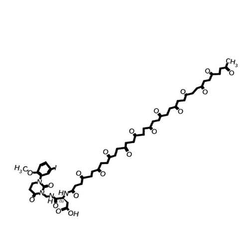 COc1ccc(I)cc1N1CCC(=O)N(CNC(=O)[C@H](CC(=O)O)NC(=O)CCC(=O)CCC(=O)CCC(=O)CCC(=O)CCC(=O)CCC(=O)CCC(=O)CCC(=O)CCC(=O)CCC(=O)CCC(=O)CCC(C)=O)C1=O